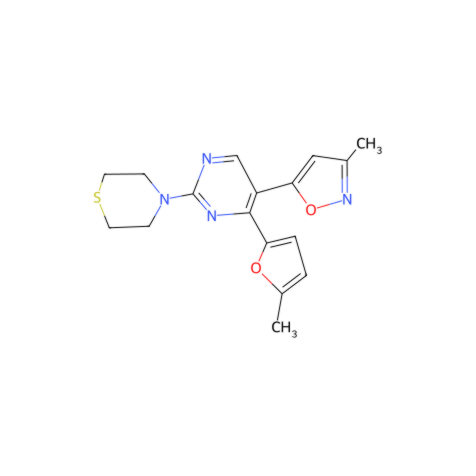 Cc1cc(-c2cnc(N3CCSCC3)nc2-c2ccc(C)o2)on1